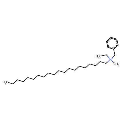 CCCCCCCCCCCCCCCCCCCC[N+](C)(CC)Cc1ccccc1